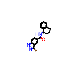 O=C(N[C@@H]1CCCc2ccccc21)c1ccc2[nH]nc(Br)c2c1